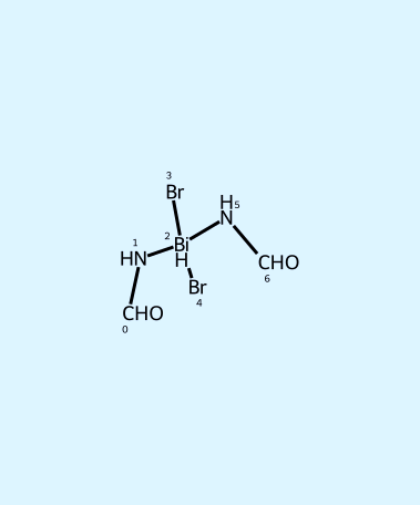 O=C[NH][BiH]([Br])([Br])[NH]C=O